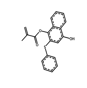 C=C(C)C(=O)Oc1c(Sc2ccccc2)cc(O)c2ccccc12